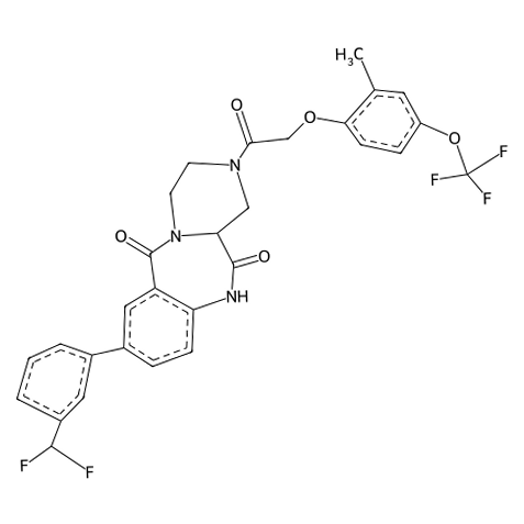 Cc1cc(OC(F)(F)F)ccc1OCC(=O)N1CCN2C(=O)c3cc(-c4cccc(C(F)F)c4)ccc3NC(=O)C2C1